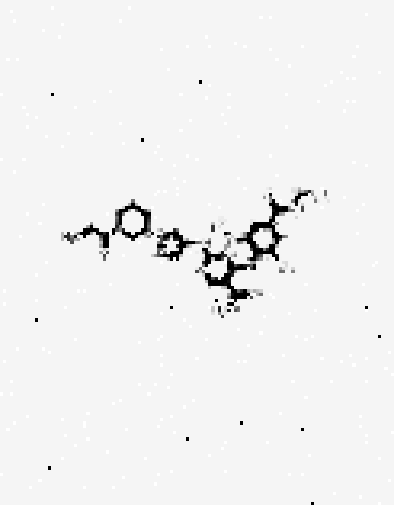 C=CC(=O)N1CCC[C@H](n2cc(Nc3ncc(C(N)=O)c(Nc4c(C)cc(C(=O)NCC)cc4OC)n3)cn2)C1